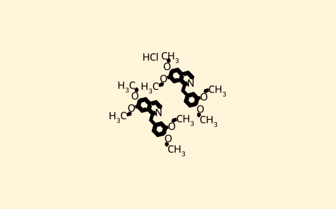 CCOc1ccc(Cc2nccc3cc(OCC)c(OCC)cc23)cc1OCC.CCOc1ccc(Cc2nccc3cc(OCC)c(OCC)cc23)cc1OCC.Cl